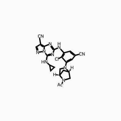 CC(=O)N1C[C@@H]2C[C@H]1CN2c1cc(C#N)cc(Nc2nc(NC3CC3)n3ncc(C#N)c3n2)c1Cl